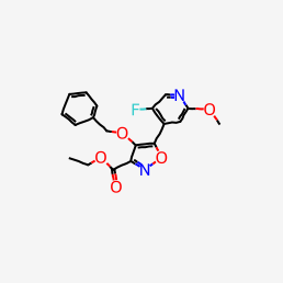 CCOC(=O)c1noc(-c2cc(OC)ncc2F)c1OCc1ccccc1